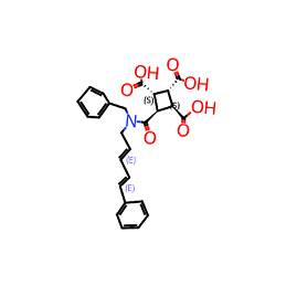 O=C(O)[C@@H]1[C@H](C(=O)O)[C@@H](C(=O)O)[C@H]1C(=O)N(C/C=C/C=C/c1ccccc1)Cc1ccccc1